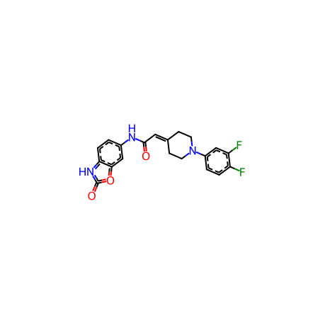 O=C(C=C1CCN(c2ccc(F)c(F)c2)CC1)Nc1ccc2[nH]c(=O)oc2c1